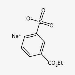 CCOC(=O)c1cccc(S(=O)(=O)[O-])c1.[Na+]